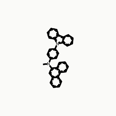 CN(c1ccc(-n2c3ccccc3c3ccccc32)cc1)c1cc2ccccc2c2ccccc12